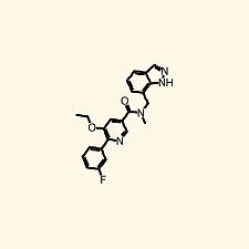 CCOc1cc(C(=O)N(C)Cc2cccc3cn[nH]c23)cnc1-c1cccc(F)c1